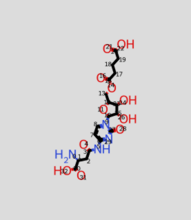 N[C@@H](CC(=O)Nc1ccn(C2OC(COC(=O)CCCC(=O)O)C(O)C2O)c(=O)n1)C(=O)O